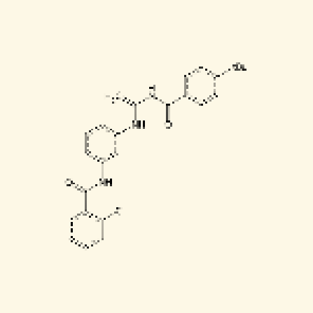 C=C(NC(=O)c1ccc(C(C)(C)C)cc1)Nc1cccc(NC(=O)c2ccccc2Cl)c1